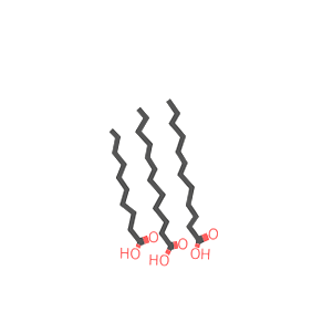 CCCCCCCCCC(=O)O.CCCCCCCCCCCC(=O)O.CCCCCCCCCCCC(=O)O